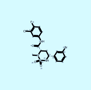 CN1[C@H](C(=O)Nc2ccc(F)c(Cl)c2)C[C@H](c2cccc(Br)c2)NS1(=O)=O